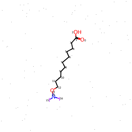 O=C(O)CCCCCCCCCCON(I)I